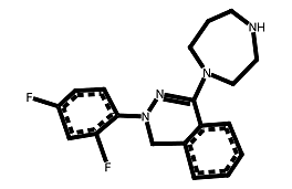 Fc1ccc(N2Cc3ccccc3C(N3CCCNCC3)=N2)c(F)c1